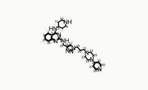 c1ccc2c(NC3CCNCC3)nc(NCc3cn(CCCN4CCN(c5ccncc5)CC4)nn3)nc2c1